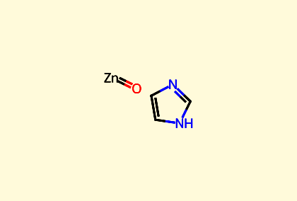 [O]=[Zn].c1c[nH]cn1